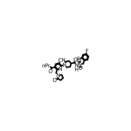 CCCC(=O)c1cc(C#N)c(N2CCC(C(=O)NS(=O)(=O)Cc3ccc(F)cc3F)CC2)nc1CN1CCCC1=O